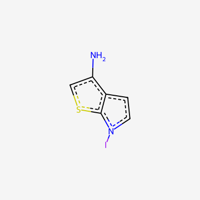 Nc1csc2c1ccn2I